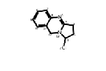 ClC1CCC2=Nc3ccccc3CN21